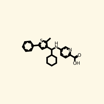 Cc1sc(-c2ccccc2)cc1C(Nc1ccc(C(=O)O)nc1)C1CCCCC1